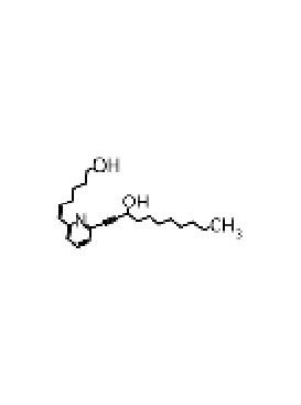 CCCCCCCCC(O)C#Cc1cccc(/C=C\CCCCO)n1